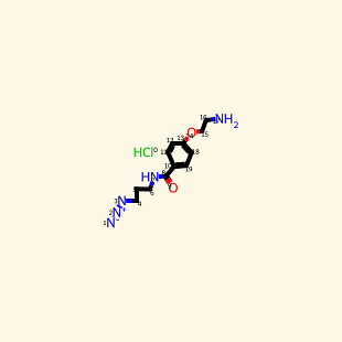 Cl.[N-]=[N+]=NCCCNC(=O)c1ccc(OCCN)cc1